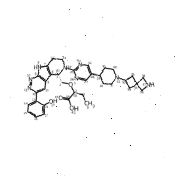 CC[C@H](OC[C@@H]1c2c([nH]c3nnc(-c4ccccc4O)cc23)CCN1c1ncc(C2CCN(C3CC4(CNC4)C3)CC2)cn1)C(=O)O